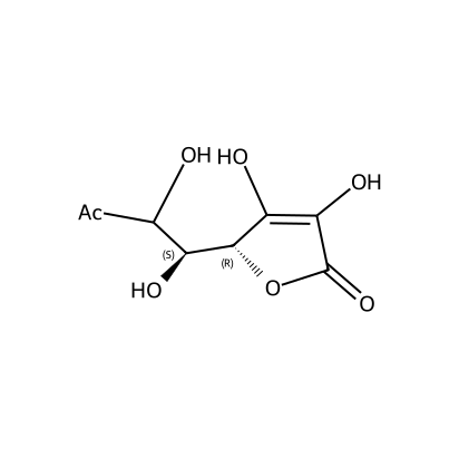 CC(=O)C(O)[C@H](O)[C@H]1OC(=O)C(O)=C1O